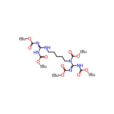 CC(C)(C)OC(=O)/N=C(/NCCCCCN(C(=O)OC(C)(C)C)/C(=N\C(=O)OC(C)(C)C)NC(=O)OC(C)(C)C)NC(=O)OC(C)(C)C